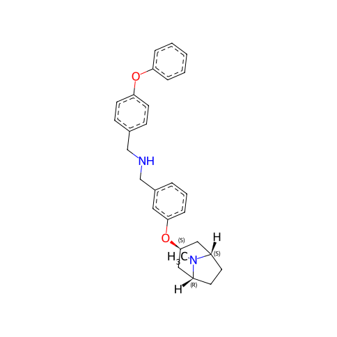 CN1[C@@H]2CC[C@H]1C[C@H](Oc1cccc(CNCc3ccc(Oc4ccccc4)cc3)c1)C2